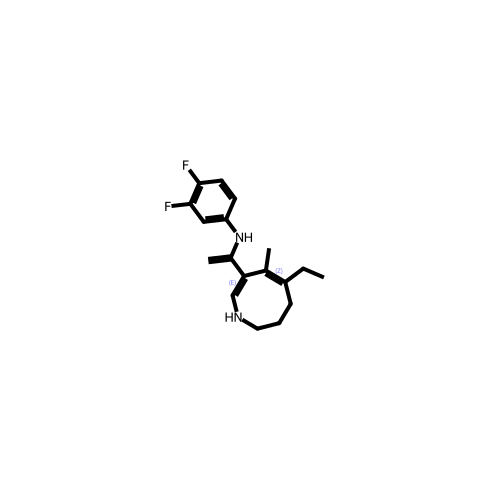 C=C(Nc1ccc(F)c(F)c1)C1=C/NCCC/C(CC)=C\1C